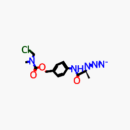 C[C@H](N=[N+]=[N-])C(=O)Nc1ccc(COC(=O)N(C)CCl)cc1